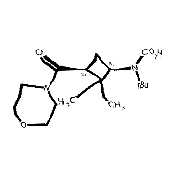 CC1(C)[C@@H](C(=O)N2CCOCC2)C[C@H]1N(C(=O)O)C(C)(C)C